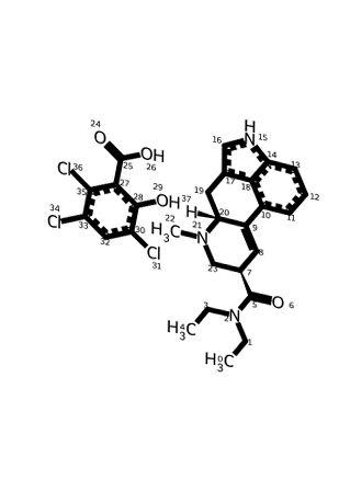 CCN(CC)C(=O)[C@@H]1C=C2c3cccc4[nH]cc(c34)C[C@H]2N(C)C1.O=C(O)c1c(O)c(Cl)cc(Cl)c1Cl